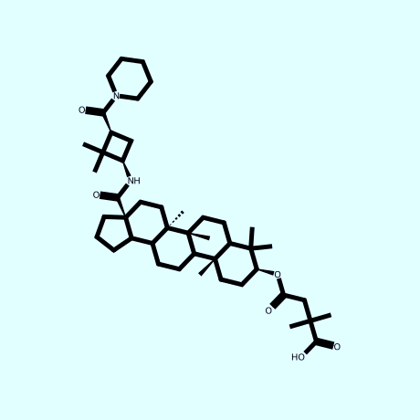 CC(C)(CC(=O)O[C@H]1CC[C@@]2(C)C(CC[C@]3(C)C2CCC2C4CCC[C@]4(C(=O)N[C@@H]4C[C@H](C(=O)N5CCCCC5)C4(C)C)CC[C@]23C)C1(C)C)C(=O)O